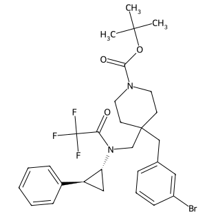 CC(C)(C)OC(=O)N1CCC(Cc2cccc(Br)c2)(CN(C(=O)C(F)(F)F)[C@@H]2C[C@H]2c2ccccc2)CC1